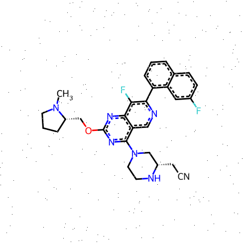 CN1CCC[C@H]1COc1nc(N2CCN[C@@H](CC#N)C2)c2cnc(-c3cccc4ccc(F)cc34)c(F)c2n1